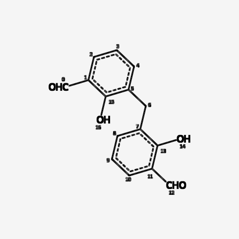 O=Cc1cccc(Cc2cccc(C=O)c2O)c1O